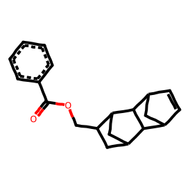 O=C(OCC1CC2CC1C1C3C=CC(C3)C21)c1ccccc1